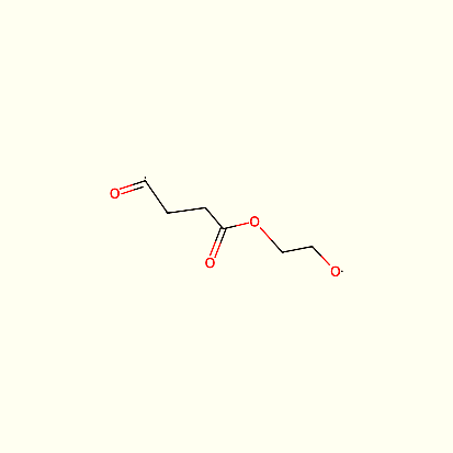 [O]CCOC(=O)CC[C]=O